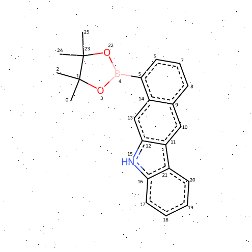 CC1(C)OB(c2cccc3cc4c(cc23)[nH]c2ccccc24)OC1(C)C